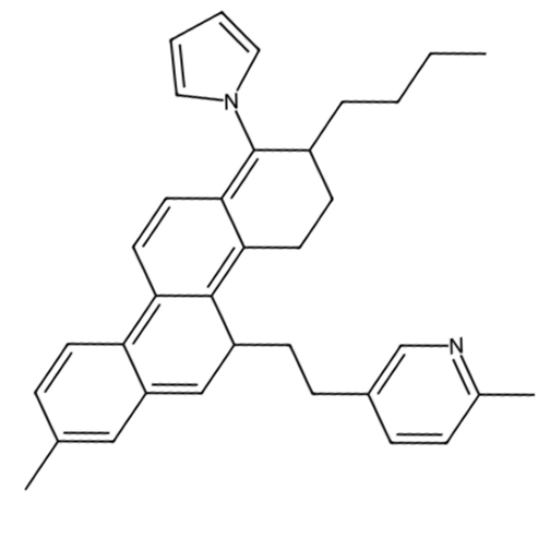 CCCCC1CCc2c3c(ccc2=C1n1cccc1)=c1ccc(C)cc1=CC3CCc1ccc(C)nc1